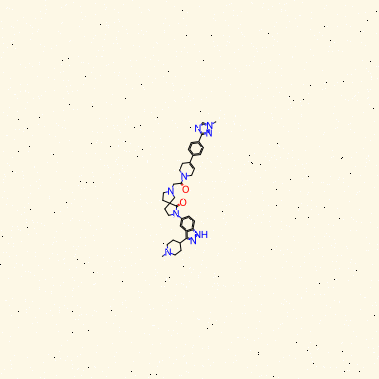 CN1CCC(c2n[nH]c3ccc(N4CCC5(CCN(CC(=O)N6CC=C(c7ccc(-c8ncn(C)n8)cc7)CC6)C5)C4=O)cc23)CC1